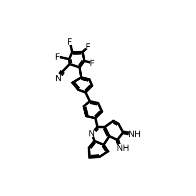 N#Cc1c(F)c(F)c(F)c(F)c1-c1ccc(-c2ccc(-c3nc4ccccc4c4c3C=CC(=N)C4=N)cc2)cc1